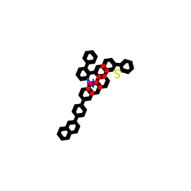 c1ccc(-c2ccccc2-c2c(-c3ccccc3)cccc2N(c2ccc(-c3ccc(-c4ccc5ccccc5c4)cc3)cc2)c2cccc(-c3cccc4c3sc3ccccc34)c2)cc1